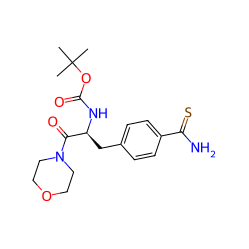 CC(C)(C)OC(=O)N[C@@H](Cc1ccc(C(N)=S)cc1)C(=O)N1CCOCC1